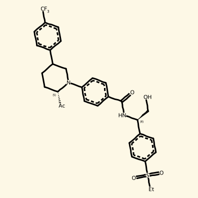 CCS(=O)(=O)c1ccc([C@H](CO)NC(=O)c2ccc(N3CC(c4ccc(C(F)(F)F)cc4)CC[C@H]3C(C)=O)cc2)cc1